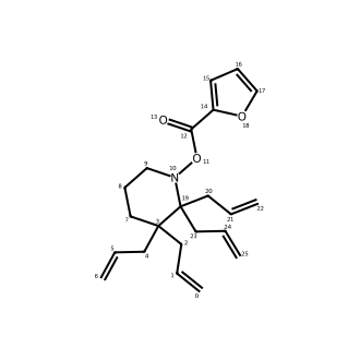 C=CCC1(CC=C)CCCN(OC(=O)c2ccco2)C1(CC=C)CC=C